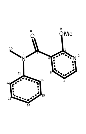 COc1ncccc1C(=O)N(C)c1ccccc1